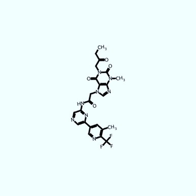 CCC(=O)Cn1c(=O)c2c(ncn2CC(=O)Nc2cncc(-c3cnc(C(F)(F)F)c(C)c3)n2)n(C)c1=O